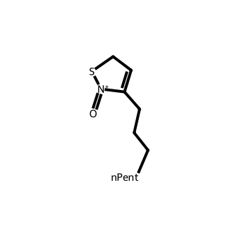 CCCCCCCCC1=CCS[N+]1=O